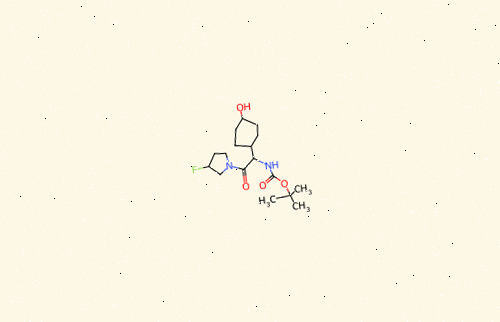 CC(C)(C)OC(=O)NC(C(=O)N1CCC(F)C1)C1CCC(O)CC1